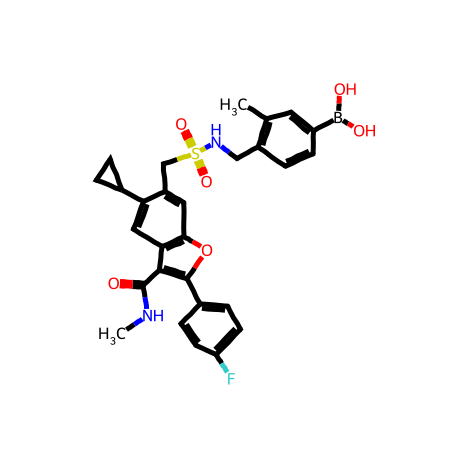 CNC(=O)c1c(-c2ccc(F)cc2)oc2cc(CS(=O)(=O)NCc3ccc(B(O)O)cc3C)c(C3CC3)cc12